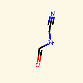 N#C[N]C=O